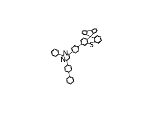 c1ccc(-c2ccc(-c3cc(-c4ccc(-c5ccc6c(c5)Sc5ccccc5C65c6ccccc6-c6ccccc65)cc4)nc(-c4ccccc4)n3)cc2)cc1